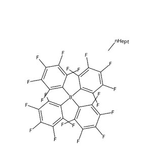 CCCCCCCC.Fc1c(F)c(F)c([B-](c2c(F)c(F)c(F)c(F)c2F)(c2c(F)c(F)c(F)c(F)c2F)c2c(F)c(F)c(F)c(F)c2F)c(F)c1F